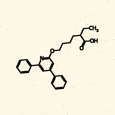 CCC(CCCCOc1cc(-c2ccccc2)cc(-c2ccccc2)n1)C(=O)O